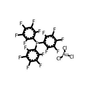 Fc1c(F)c(F)c(P(c2c(F)c(F)c(F)c(F)c2F)c2c(F)c(F)c(F)c(F)c2F)c(F)c1F.[Cl][Au]([Cl])[Cl]